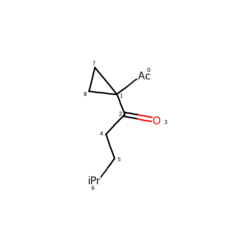 CC(=O)C1(C(=O)CCC(C)C)CC1